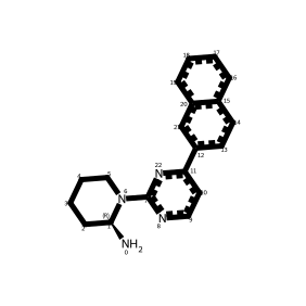 N[C@H]1C[CH]CCN1c1nccc(-c2ccc3ccccc3c2)n1